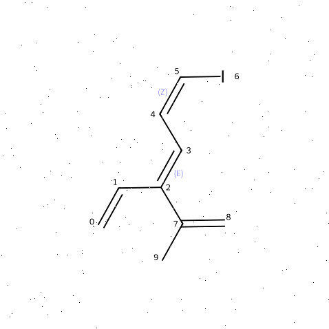 C=C/C(=C\C=C/I)C(=C)C